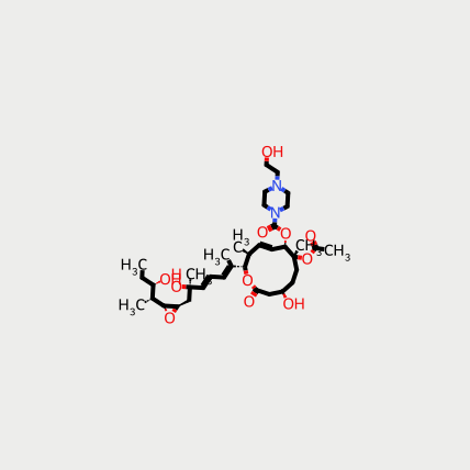 CC[C@H](O)[C@@H](C)[C@H]1O[C@@H]1C[C@@](C)(O)/C=C/C=C(\C)[C@H]1OC(=O)C[C@H](O)CC[C@@](C)(OC(C)=O)[C@@H](OC(=O)N2CCN(CCO)CC2)/C=C/[C@@H]1C